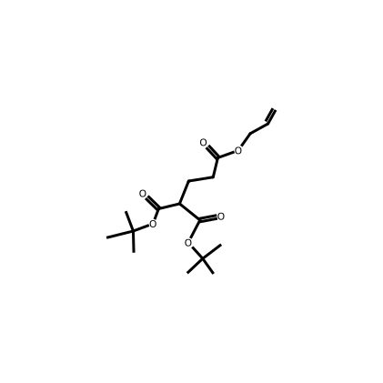 C=CCOC(=O)CCC(C(=O)OC(C)(C)C)C(=O)OC(C)(C)C